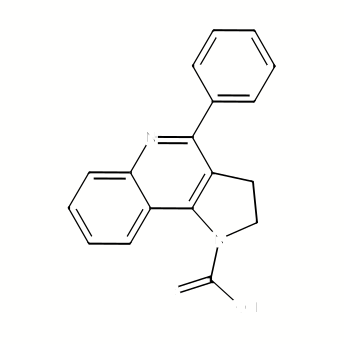 O=C(O)N1CCc2c(-c3ccccc3)nc3ccccc3c21